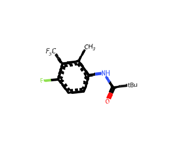 Cc1c(NC(=O)C(C)(C)C)ccc(F)c1C(F)(F)F